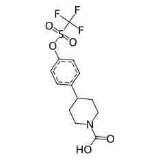 O=C(O)N1CCC(c2ccc(OS(=O)(=O)C(F)(F)F)cc2)CC1